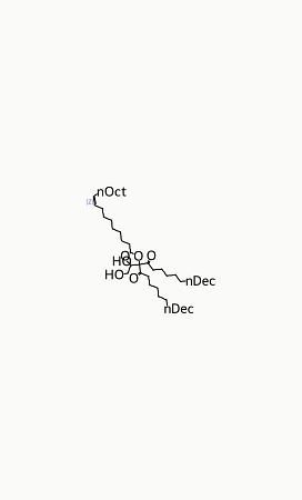 CCCCCCCC/C=C\CCCCCCCC(=O)OC(C(=O)CCCCCCCCCCCCCCC)(C(=O)CCCCCCCCCCCCCCC)C(O)CO